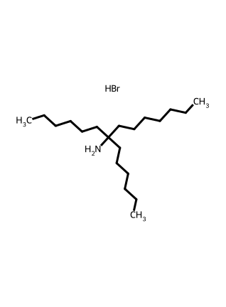 Br.CCCCCCCC(N)(CCCCCC)CCCCCC